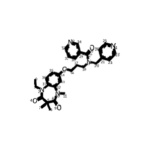 CCN1C(=O)C(C)(C)C(=O)N(C)c2cc(OCCCN(Cc3ccncc3)C(=O)c3cccnc3)ccc21